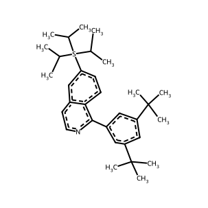 CC(C)S(c1ccc2c(-c3cc(C(C)(C)C)cc(C(C)(C)C)c3)nccc2c1)(C(C)C)C(C)C